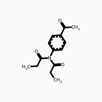 CCC(=O)N(C(=O)CC)c1ccc(C(C)=O)cc1